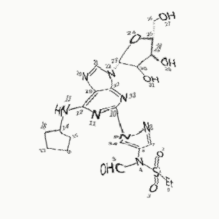 CCS(=O)(=O)N(C=O)c1cnn(-c2nc(NC3CCCC3)c3ncn([C@@H]4O[C@H](CO)C(O)C4O)c3n2)c1